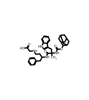 CC(Cc1c[nH]c2ccccc12)(NC(=O)OC1C2CC3CC(C2)CC1C3)C(=O)NC(CCNCC(=O)O)Cc1ccccc1